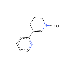 O=C(O)N1C=C(c2ccccn2)CCC1